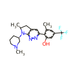 Cc1cc(C(F)(F)F)cc(O)c1-c1cc2c(nn1)N([C@@H]1CCCN(C)C1)C(C)C2